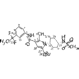 Cc1c(C(=O)Nc2cccc(C(C)(F)F)c2)cc(C(C)(C)C)n1[C@H]1CC[C@@H](NS(C)(=O)=O)CC1